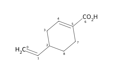 C=CC1CC=C(C(=O)O)CC1